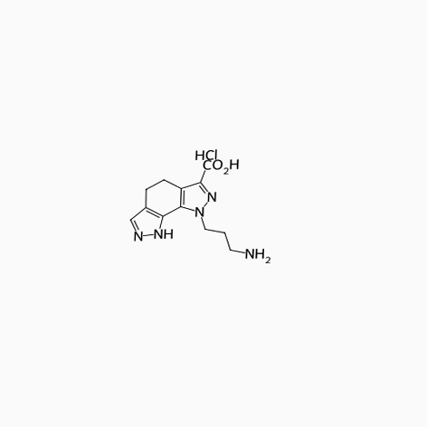 Cl.NCCCn1nc(C(=O)O)c2c1-c1[nH]ncc1CC2